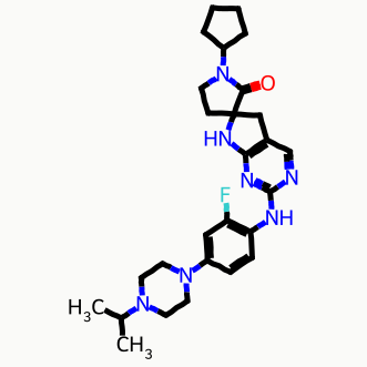 CC(C)N1CCN(c2ccc(Nc3ncc4c(n3)NC3(CCN(C5CCCC5)C3=O)C4)c(F)c2)CC1